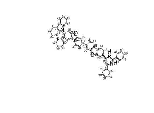 C1=Cc2c(n(-c3ccc4c(c3)oc3cc(-c5ccc6c(c5)oc5cc(C7N=C(c8ccccc8)NC(c8ccccc8)N7)ccc56)ccc34)c3ccccc23)C(c2ccccc2)C1